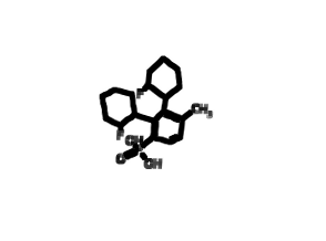 Cc1ccc(P(=O)(O)O)c(C2CCCCC2F)c1C1CCCCC1F